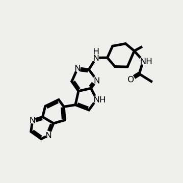 CC(=O)NC1(C)CCC(Nc2ncc3c(-c4ccc5nccnc5c4)c[nH]c3n2)CC1